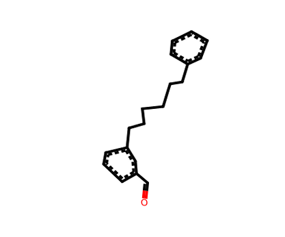 O=Cc1cccc(CCCCCCc2ccccc2)c1